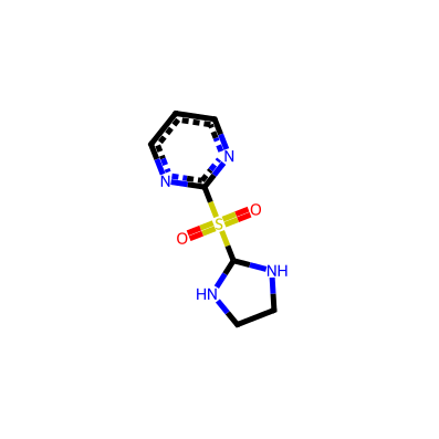 O=S(=O)(c1ncccn1)C1NCCN1